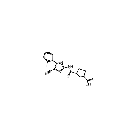 N#Cc1sc(NC(=O)C2CCC(C(=O)O)C2)nc1-c1ccccc1F